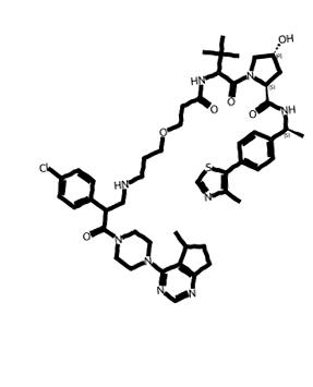 Cc1ncsc1-c1ccc([C@H](C)NC(=O)[C@@H]2C[C@@H](O)CN2C(=O)C(NC(=O)CCOCCCNCC(C(=O)N2CCN(c3ncnc4c3C(C)CC4)CC2)c2ccc(Cl)cc2)C(C)(C)C)cc1